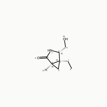 CC[C@]12C[C@H]1C(=O)N[C@@H]2CO